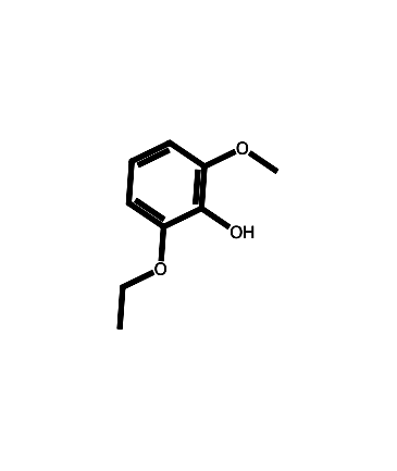 CCOc1cccc(OC)c1O